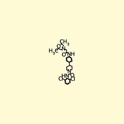 CC1CN(CC(=O)Nc2ccc(C3CCN(C(=O)Nc4c(Cl)cccc4Cl)CC3)cc2)CC(C)O1